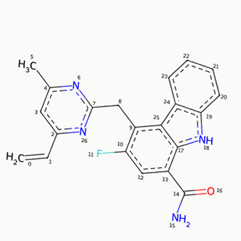 C=Cc1cc(C)nc(Cc2c(F)cc(C(N)=O)c3[nH]c4ccccc4c23)n1